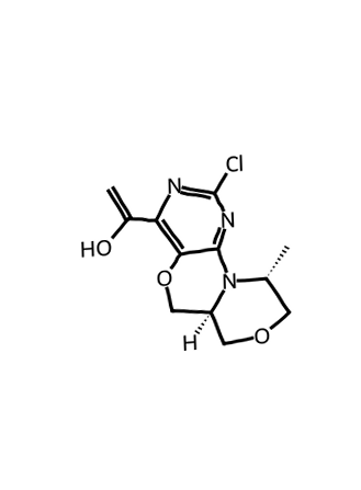 C=C(O)c1nc(Cl)nc2c1OC[C@@H]1COC[C@@H](C)N21